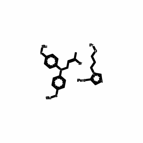 CC(Br)=CCB(c1ccc(SC(C)(C)C)cc1)c1ccc(SC(C)(C)C)cc1.CCCC(C)c1cncn1CCCOC(C)C